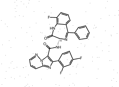 O=C(N[C@H]1N=C(c2ccccc2)c2cccc(F)c2NC1=O)c1c(-c2ccc(F)cc2F)nc2cccnn12